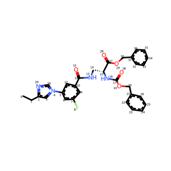 CCc1cn(-c2cc(F)cc(C(=O)NC[C@@H](NC(=O)OCc3ccccc3)C(=O)OCc3ccccc3)c2)cn1